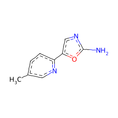 Cc1ccc(-c2cnc(N)o2)nc1